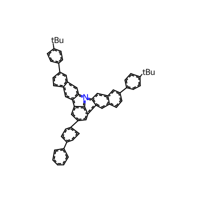 CC(C)(C)c1ccc(-c2ccc3cc4c5cc(-c6ccc(-c7ccccc7)cc6)cc6c7cc8ccc(-c9ccc(C(C)(C)C)cc9)cc8cc7n(c4cc3c2)c56)cc1